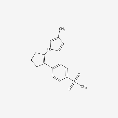 CC1=C[SH](C2=C(c3ccc(S(C)(=O)=O)cc3)CCC2)C=C1